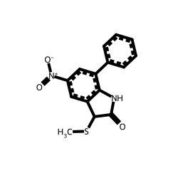 CSC1C(=O)Nc2c(-c3ccccc3)cc([N+](=O)[O-])cc21